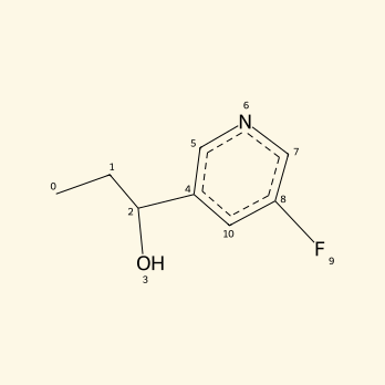 CCC(O)c1cncc(F)c1